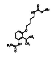 C=C(N)c1c(N[SH](=O)=[SiH2])cccc1OCCCCNC(=O)OC(C)(C)C